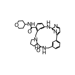 O=C(NC1CCOCC1)c1ccc2cc1CN1CCC[C@H]1C(=O)NCc1cccc(c1)-c1ccnc(n1)N2